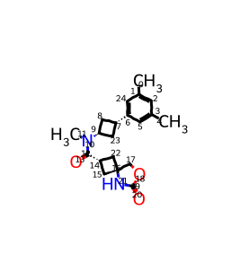 Cc1cc(C)cc([C@H]2C[C@@H](N(C)C(=O)[C@H]3C[C@]4(COC(=O)N4)C3)C2)c1